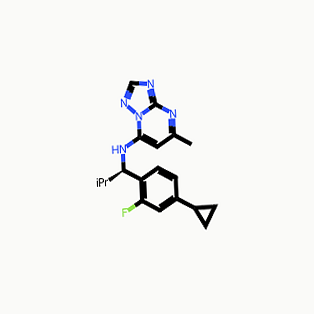 Cc1cc(N[C@@H](c2ccc(C3CC3)cc2F)C(C)C)n2ncnc2n1